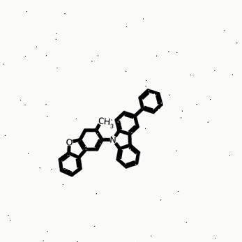 CC1Cc2oc3ccccc3c2C=C1n1c2ccccc2c2cc(-c3ccccc3)ccc21